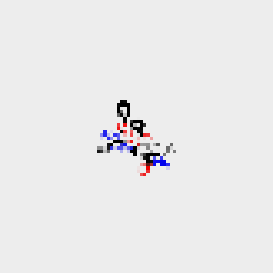 CC(C)CC(NC(=O)OCc1ccccc1)C(=O)NC(C[C@@H]1CCNC1=O)C(OC(=O)c1ccccc1)S(=O)(=O)O